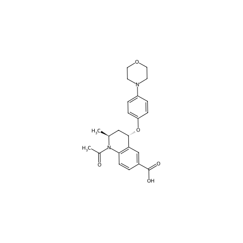 CC(=O)N1c2ccc(C(=O)O)cc2[C@@H](Oc2ccc(N3CCOCC3)cc2)C[C@@H]1C